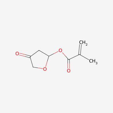 C=C(C)C(=O)OC1CC(=O)CO1